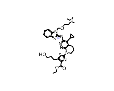 CCOC(=O)c1nc(N2CCCc3c2nnc(/N=c2\sc4ccccc4n2COCC[Si](C)(C)C)c3C2CC2)sc1CCCO